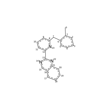 Cc1ccccc1Cc1cccc(-c2ncc3ccccc3n2)n1